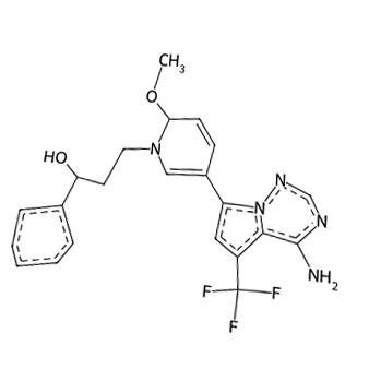 COC1C=CC(c2cc(C(F)(F)F)c3c(N)ncnn23)=CN1CCC(O)c1ccccc1